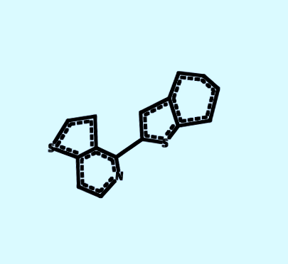 c1ccc2sc(-c3nccc4sccc34)cc2c1